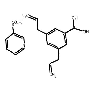 C=CCc1cc(CC=C)cc(C(O)O)c1.O=C(O)c1ccccc1